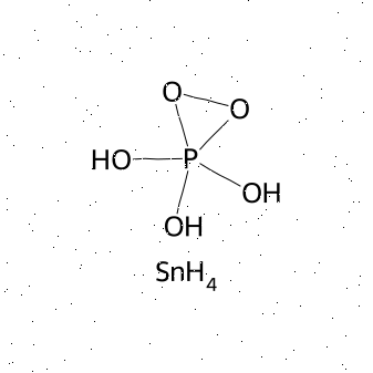 OP1(O)(O)OO1.[SnH4]